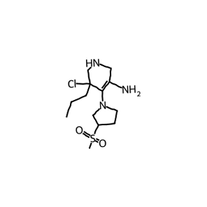 CCCC1(Cl)CNCC(N)=C1N1CCC(S(C)(=O)=O)C1